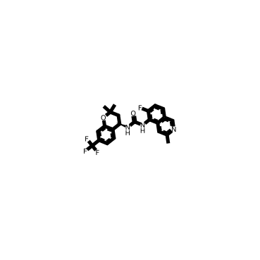 Cc1cc2c(NC(=O)N[C@@H]3CC(C)(C)Oc4cc(C(F)(F)F)ccc43)c(F)ccc2cn1